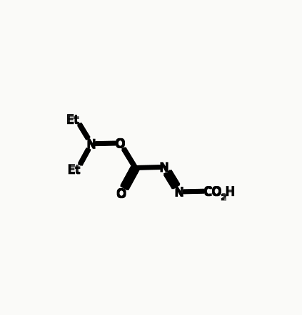 CCN(CC)OC(=O)N=NC(=O)O